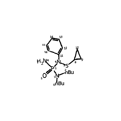 CCCCN(CCCC)P(N)(=O)N(SC1CC1)c1ccccc1